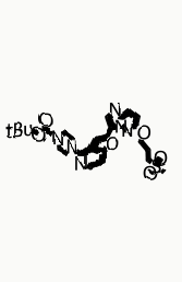 CC(C)(C)OC(=O)N1CCN(c2nccc3oc(-c4cnc5ccc(OCCCS(C)(=O)=O)nn45)cc23)CC1